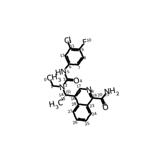 CCN(C(=O)Nc1ccc(F)c(Cl)c1)[C@@H](C)c1cnc(C(N)=O)c2ccccc12